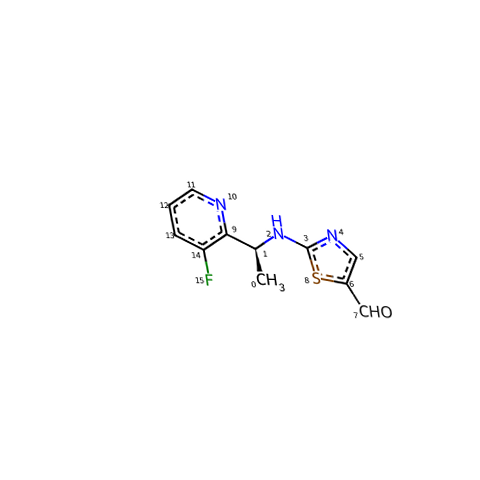 C[C@H](Nc1ncc(C=O)s1)c1ncccc1F